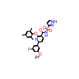 Cc1cc(C)c(Oc2nc(-c3cc(F)cc(OC(C)C)c3)ccc2C(=O)NS(=O)(=O)c2cc[nH]n2)c(C)c1